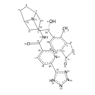 Cc1c([C@@H](O)CN2C3CCC2CC(NC(=O)c2ccc(-c4nnn[nH]4)nc2)C3)ccc2c1COC2=O